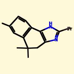 Cc1ccc2c(c1)C(C)(C)Cc1nc(C(C)C)[nH]c1-2